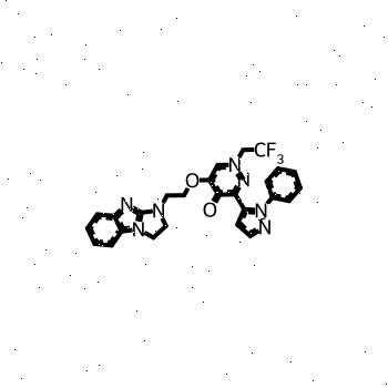 O=c1c(OCCN2CCn3c2nc2ccccc23)cn(CC(F)(F)F)nc1-c1ccnn1-c1ccccc1